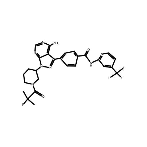 CC(C)(F)C(=O)N1CCCC(n2nc(-c3ccc(C(=O)Nc4cc(C(F)(F)F)ccn4)cc3)c3c(N)ncnc32)C1